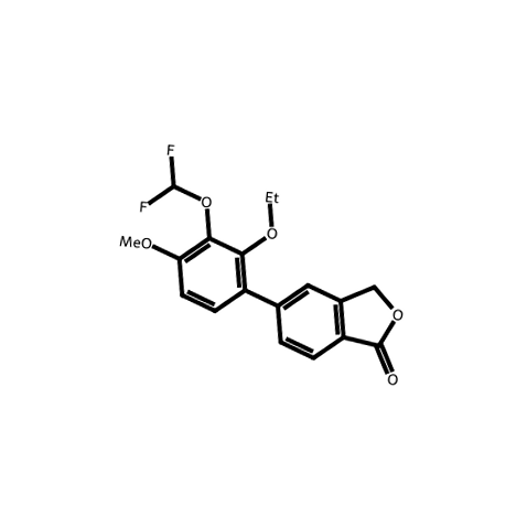 CCOc1c(-c2ccc3c(c2)COC3=O)ccc(OC)c1OC(F)F